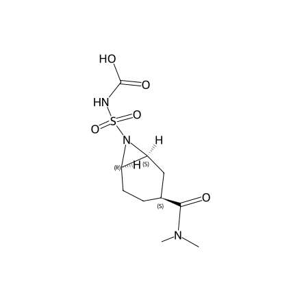 CN(C)C(=O)[C@H]1CC[C@@H]2[C@H](C1)N2S(=O)(=O)NC(=O)O